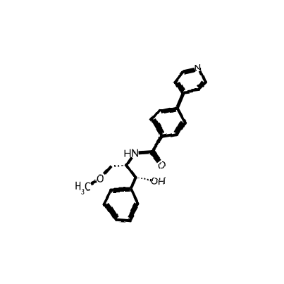 COC[C@H](NC(=O)c1ccc(-c2ccncc2)cc1)[C@H](O)c1ccccc1